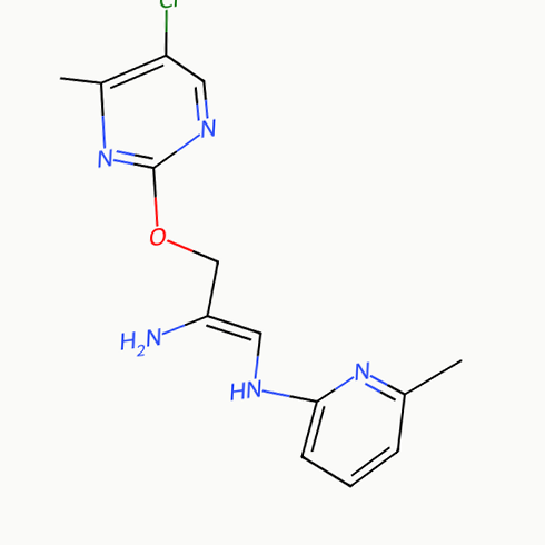 Cc1cccc(N/C=C(\N)COc2ncc(Cl)c(C)n2)n1